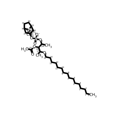 CCCCCCCCCCCCCCCCOC(C)C(OC(C)=O)C(C)OP(=O)([O-])OC1CC2CCC(C1)[N+]2(C)C